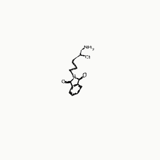 NCC(Cl)CCCN1C(=O)c2ccccc2C1=O